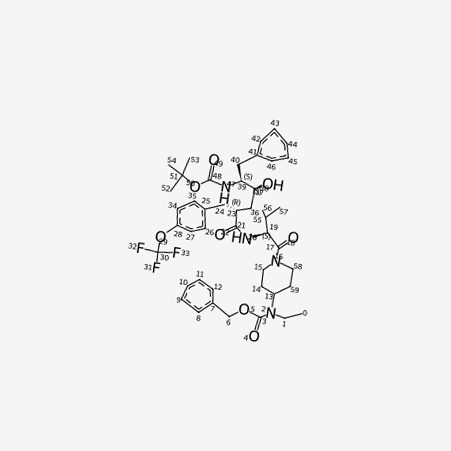 CCN(C(=O)OCc1ccccc1)C1CCN(C(=O)[C@@H](NC(=O)[C@H](Cc2ccc(OC(F)(F)F)cc2)C[C@H](O)[C@H](Cc2ccccc2)NC(=O)OC(C)(C)C)C(C)C)CC1